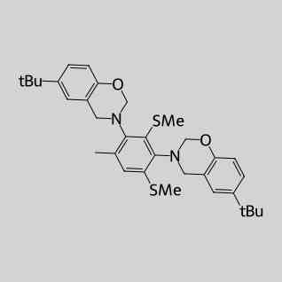 CSc1cc(C)c(N2COc3ccc(C(C)(C)C)cc3C2)c(SC)c1N1COc2ccc(C(C)(C)C)cc2C1